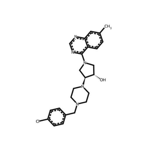 Cc1ccc2c(N3C[C@H](O)[C@@H](N4CCN(Cc5ccc(Cl)cc5)CC4)C3)ncnc2c1